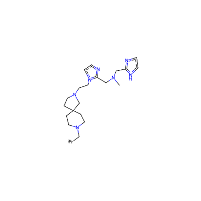 CC(C)CN1CCC2(CC1)CCN(CCn1ccnc1CN(C)Cc1ncc[nH]1)C2